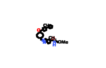 COCCNC(=O)c1ccc2nn(CC3CCCCC(C(=O)c4ccc(-c5ccccc5)c(C)c4)CCC3)cc2c1C